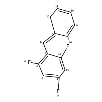 Fc1cc(F)c(C=C2C=CC=CC2)c(F)c1